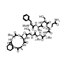 CC[C@H](C)[C@H](NC(=O)[C@@H](Cc1ccccc1)NC)C(=O)N[C@@H](CO)C(=O)N[C@H](CCC(N)=O)C(=O)N[C@@H](C(=O)N[C@H](C(=O)N[C@@H](CO)C(=O)N[C@H]1C(=O)N[C@@H](C)C(=O)NC2(CCCCC2)C(=O)N[C@@H]([C@@H](C)CC)C(=O)O[C@H]1C)[C@@H](C)CC)[C@@H](C)CC